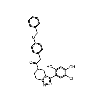 O=C(Cc1ccc(OCc2ccccc2)cc1)N1CCc2noc(-c3cc(Cl)c(O)cc3O)c2C1